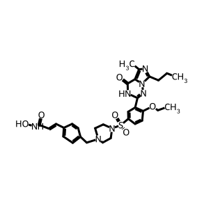 CCCc1nc(C)c2c(=O)[nH]c(-c3cc(S(=O)(=O)N4CCN(Cc5ccc(/C=C/C(=O)NO)cc5)CC4)ccc3OCC)nn12